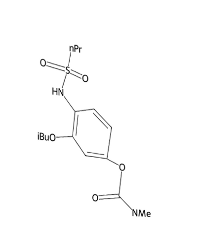 CCCS(=O)(=O)Nc1ccc(OC(=O)NC)cc1OCC(C)C